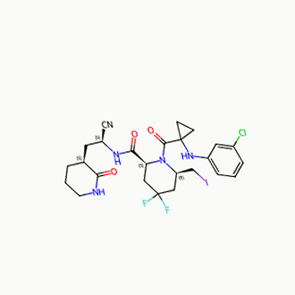 N#C[C@H](C[C@@H]1CCCNC1=O)NC(=O)[C@@H]1CC(F)(F)C[C@H](CI)N1C(=O)C1(Nc2cccc(Cl)c2)CC1